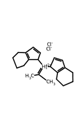 C[C](C)=[Hf+2]([CH]1C=CC2=C1CCCC2)[CH]1C=CC2=C1CCCC2.[Cl-].[Cl-]